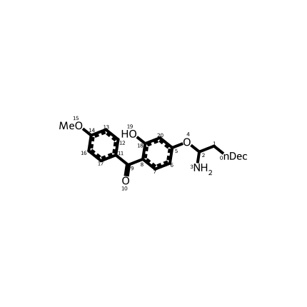 CCCCCCCCCCCC(N)Oc1ccc(C(=O)c2ccc(OC)cc2)c(O)c1